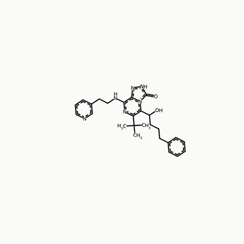 CC(C)(C)c1nc(NCCc2cccnc2)c2n[nH]c(=O)n2c1C(O)CCCc1ccccc1